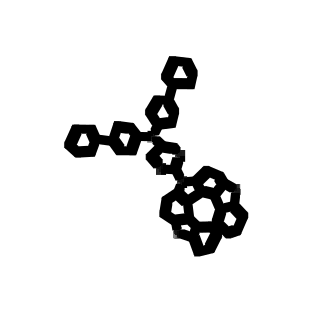 c1ccc(-c2ccc(N(c3ccc(-c4ccccc4)cc3)c3cnc(-n4c5ccc6sc7ccccc7c6c5c5c6c(ccc54)sc4ccccc46)nc3)cc2)cc1